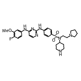 COc1cc(Nc2ccnc(Nc3ccc(S(=O)(=O)N(CCN4CCCC4)C4CCNCC4)cc3)n2)ccc1F